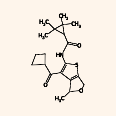 CC1OCc2sc(NC(=O)C3C(C)(C)C3(C)C)c(C(=O)C3CCC3)c21